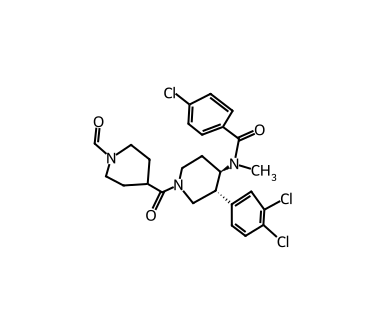 CN(C(=O)c1ccc(Cl)cc1)[C@@H]1CCN(C(=O)C2CCN(C=O)CC2)C[C@H]1c1ccc(Cl)c(Cl)c1